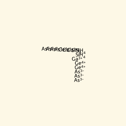 [As-3].[As-3].[As-3].[As-3].[As-3].[As-3].[As-3].[Ga+3].[Ga+3].[Ga+3].[Ge+4].[Ge+4].[Ge+4].[SiH4].[SiH4].[SiH4]